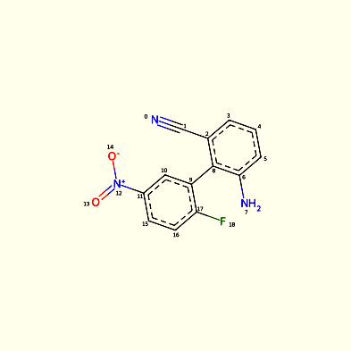 N#Cc1cccc(N)c1-c1cc([N+](=O)[O-])ccc1F